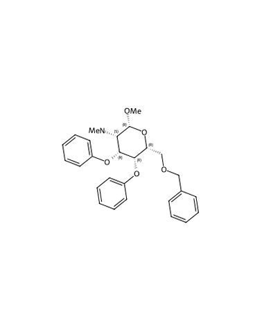 CN[C@@H]1[C@H](OC)O[C@H](COCc2ccccc2)[C@H](Oc2ccccc2)[C@@H]1Oc1ccccc1